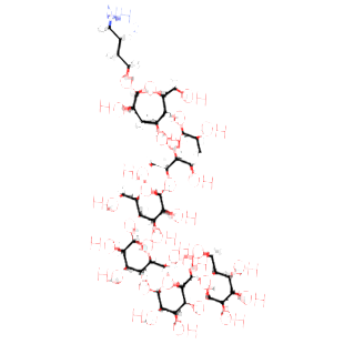 CC(O)[C@H](OC(CO)[C@H](CO)O[C@@H]1OC(CO)[C@@H](O[C@H]2OC(CO)[C@H](O[C@H]3OC(CO)[C@@H](O[C@@H]4OC(CO)[C@@H](O)C(O)C4O)C(O)C3O)C(O)C2O)C(O)C1O)O[C@@H]1C(O)CC(O)[C@@H](OCCCCN)OC1CO